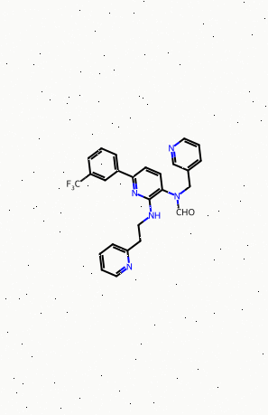 O=CN(Cc1cccnc1)c1ccc(-c2cccc(C(F)(F)F)c2)nc1NCCc1ccccn1